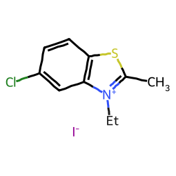 CC[n+]1c(C)sc2ccc(Cl)cc21.[I-]